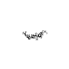 Cc1cn2cc(NC(=O)c3cnc(N4CCC(CNCC(F)F)C4)cn3)cc(F)c2n1